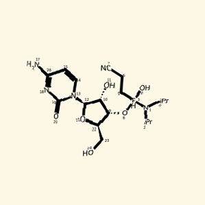 CC(C)N(C(C)C)[PH](O)(CCC#N)O[C@H]1[C@@H](O)[C@H](n2ccc(N)nc2=O)O[C@@H]1CO